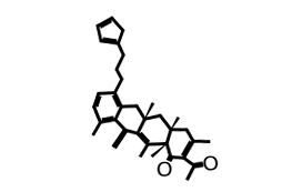 C=C1C2=C(C)[C@@]3(C)C(=O)C(C(C)=O)=C(C)C[C@@]3(C)C[C@@]2(C)Cc2c(CCCC3=CC=CC3)ccc(C)c21